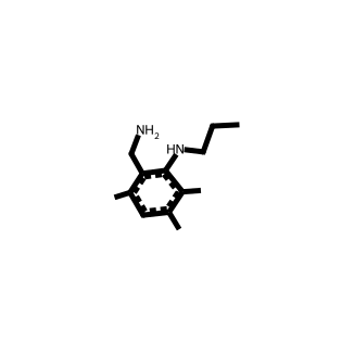 CCCNc1c(C)c(C)cc(C)c1CN